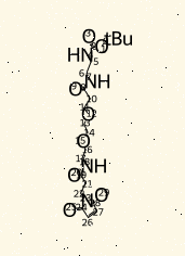 CC(C)(C)OC(=O)NCCNC(=O)CCOCCOCCNC(=O)CCN1C(=O)C=CC1=O